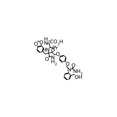 CC(C)C(NC(Cc1ccc2c(c1)OCO2)(C(N)=O)C(=O)COc1ccc(OCN(C(N)=O)c2ccccc2CO)cc1)[C@H](N)C(=O)O